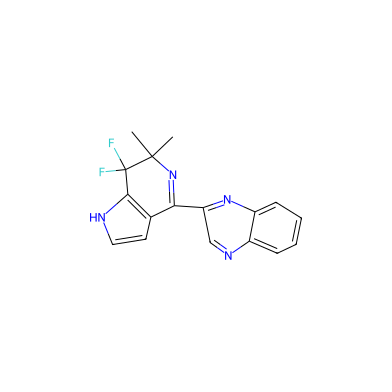 CC1(C)N=C(c2cnc3ccccc3n2)c2cc[nH]c2C1(F)F